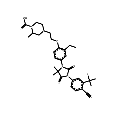 CCc1cc(N2C(=S)N(c3ccc(C#N)c(C(F)(F)F)c3)C(=O)C2(C)C)ccc1OCCN1CCN(C(=O)O)C(C)C1